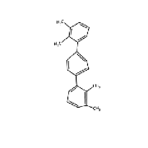 Cc1cccc(-c2ccc(-c3cccc(C)c3C)cc2)c1C